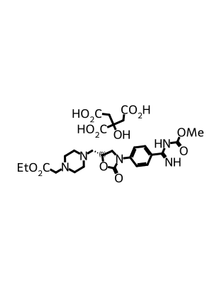 CCOC(=O)CN1CCN(C[C@@H]2CN(c3ccc(C(=N)NC(=O)OC)cc3)C(=O)O2)CC1.O=C(O)CC(O)(CC(=O)O)C(=O)O